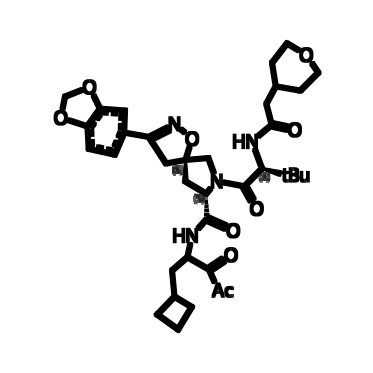 CC(=O)C(=O)C(CC1CCC1)NC(=O)[C@@H]1C[C@]2(CC(c3ccc4c(c3)OCO4)=NO2)CN1C(=O)[C@@H](NC(=O)CC1CCOCC1)C(C)(C)C